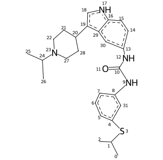 CC(C)Sc1cccc(NC(=O)Nc2ccc3[nH]cc(C4CCN(C(C)C)CC4)c3c2)c1